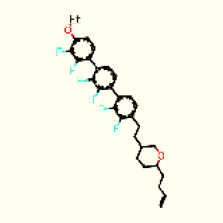 C=CCCC1CCC(CCc2ccc(-c3ccc(-c4ccc(OCC)c(F)c4F)c(F)c3F)c(F)c2F)CO1